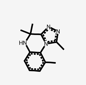 Cc1cccc2c1-n1c(C)nnc1C(C)(C)N2